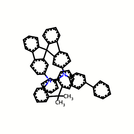 CC1(C)c2ccccc2N(c2ccc3c(c2)C2(c4ccccc4-c4ccc(N(c5ccccc5)c5ccc(-c6ccccc6)cc5)cc42)c2ccccc2-3)c2ccccc21